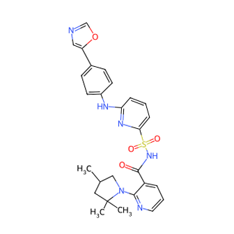 CC1CN(c2ncccc2C(=O)NS(=O)(=O)c2cccc(Nc3ccc(-c4cnco4)cc3)n2)C(C)(C)C1